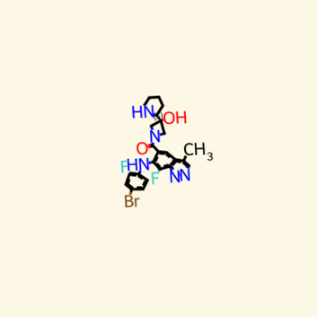 Cc1cnnc2c(F)c(Nc3ccc(Br)cc3F)c(C(=O)N3CC(O)([C@@H]4CCCCN4)C3)cc12